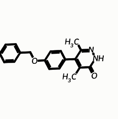 Cc1n[nH]c(=O)c(C)c1-c1ccc(OCc2ccccc2)cc1